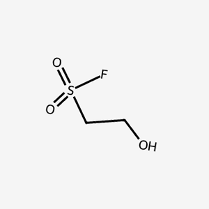 O=S(=O)(F)CCO